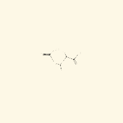 CCOC(=O)C(NC(=N)N)C(Br)C(N)=O